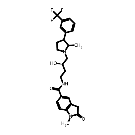 CC1C(c2cccc(C(F)(F)F)c2)CCN1C[C@H](O)CCNC(=O)c1ccc2c(c1)CC(=O)N2C